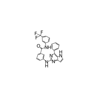 O=C(Nc1cccc(C(F)(F)F)c1)c1cccc(Nc2nc(-c3ccccc3)c3[nH]ccc3n2)c1